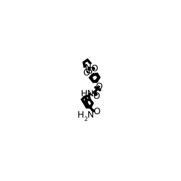 CC(C)(Oc1ccc(S(=O)(=O)N2CCCC2)cc1)C(=O)NC1C2CC3CC1CC(C(N)=O)(C3)C2